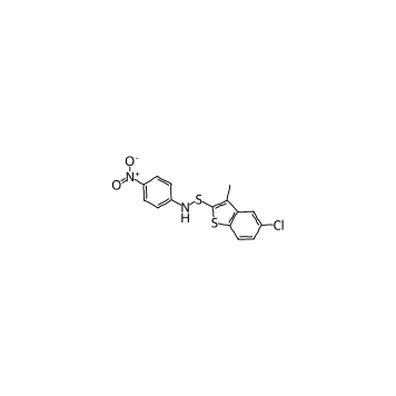 Cc1c(SNc2ccc([N+](=O)[O-])cc2)sc2ccc(Cl)cc12